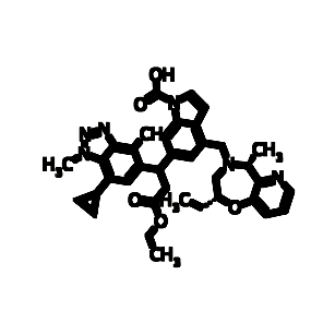 CCOC(=O)CC(c1cc(CN2C[C@@H](CC)Oc3cccnc3[C@@H]2C)c2ccn(C(=O)O)c2c1)c1cc(C2CC2)c2c(nnn2C)c1C